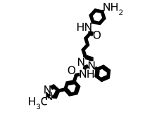 Cn1cc(-c2cccc(C(=O)Nc3nc(CCCC(=O)N[C@H]4CC[C@H](N)CC4)cn3-c3ccccc3)c2)cn1